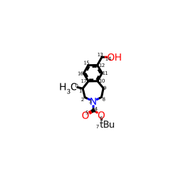 CC1CN(C(=O)OC(C)(C)C)CCc2cc(CO)ccc21